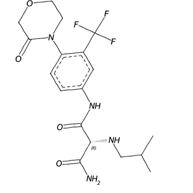 CC(C)CN[C@H](C(N)=O)C(=O)Nc1ccc(N2CCOCC2=O)c(C(F)(F)F)c1